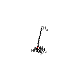 CCCCCCCCC=CCCCCCCCC(=O)C1(O)C=CC([N+](=O)[O-])=C(P)C1O